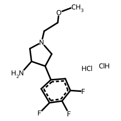 COCCN1CC(N)C(c2cc(F)c(F)c(F)c2)C1.Cl.Cl